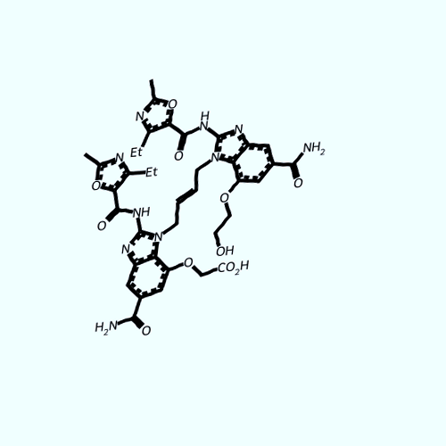 CCc1nc(C)oc1C(=O)Nc1nc2cc(C(N)=O)cc(OCCO)c2n1CC=CCn1c(NC(=O)c2oc(C)nc2CC)nc2cc(C(N)=O)cc(OCC(=O)O)c21